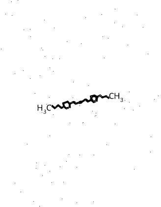 CCCCCc1ccc(C=CC#CC=CC2CCC(CCCCC)CC2)cc1